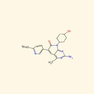 COc1ccc(-c2cc3c(C)nc(N)nc3n(C3CCC(O)CC3)c2=O)cn1